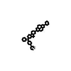 CC1(C)c2cc(-c3cc4ccc5cc(-c6ccccc6)cc6ccc(c3)c4c56)ccc2-c2ccc(N(c3ccccc3)c3ccc(-c4cccnc4)cc3)cc21